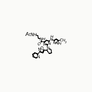 CC(=O)NCCNC(=O)c1cc(Nc2cc(C)[nH]n2)nc(N2CCCC2c2cc(-c3ccccn3)no2)n1